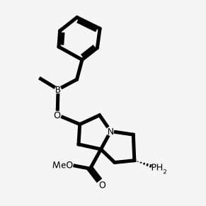 COC(=O)C12CC(OB(C)Cc3ccccc3)CN1C[C@H](P)C2